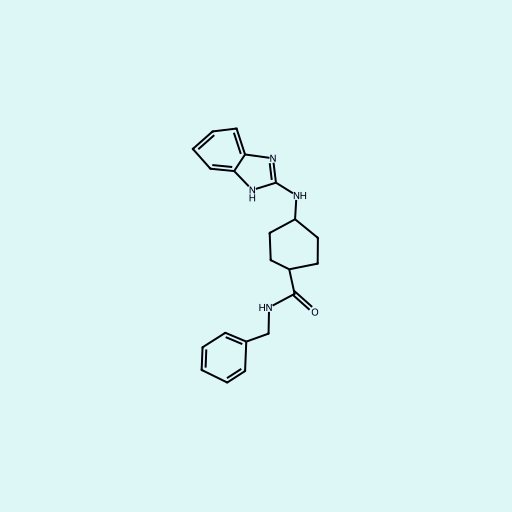 O=C(NCc1ccccc1)C1CCC(Nc2nc3ccccc3[nH]2)CC1